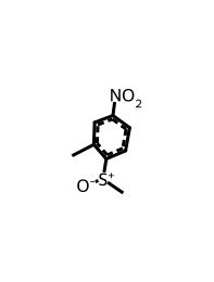 Cc1cc([N+](=O)[O-])ccc1[S+](C)[O-]